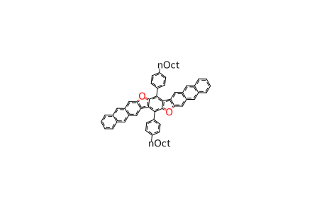 CCCCCCCCc1ccc(-c2c3oc4cc5cc6ccccc6cc5cc4c3c(-c3ccc(CCCCCCCC)cc3)c3oc4cc5cc6ccccc6cc5cc4c23)cc1